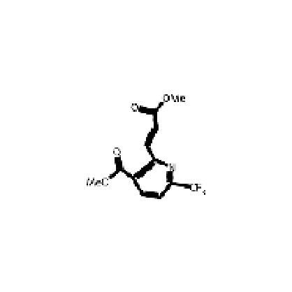 COC(=O)C=Cc1nc(C(F)(F)F)ccc1C(=O)OC